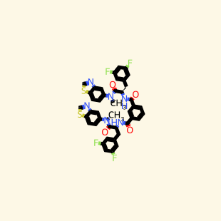 CN(C(=O)C(Cc1cc(F)cc(F)c1)NC(=O)c1cccc(C(=O)N[C@@H](Cc2cc(F)cc(F)c2)C(=O)N(C)c2ccc3scnc3c2)c1)c1ccc2scnc2c1